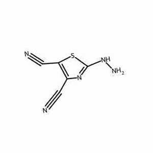 N#Cc1nc(NN)sc1C#N